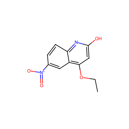 CCOc1cc(O)nc2ccc([N+](=O)[O-])cc12